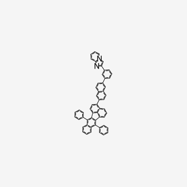 c1ccc(-c2c3c(c(-c4ccccc4)c4ccccc24)-c2ccc(-c4ccc5cc(-c6cccc(-c7cn8ccccc8n7)c6)ccc5c4)c4cccc-3c24)cc1